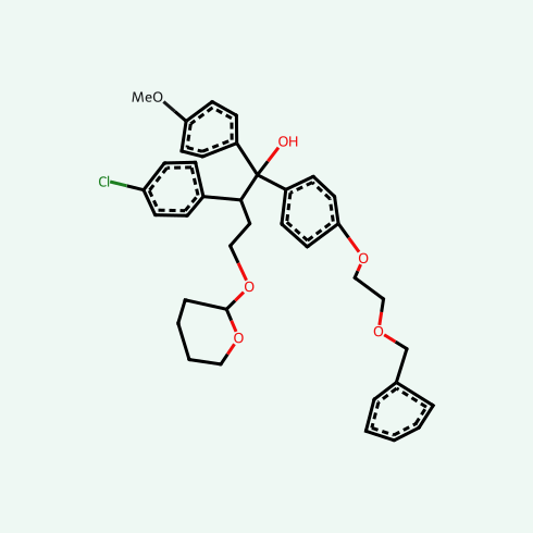 COc1ccc(C(O)(c2ccc(OCCOCc3ccccc3)cc2)C(CCOC2CCCCO2)c2ccc(Cl)cc2)cc1